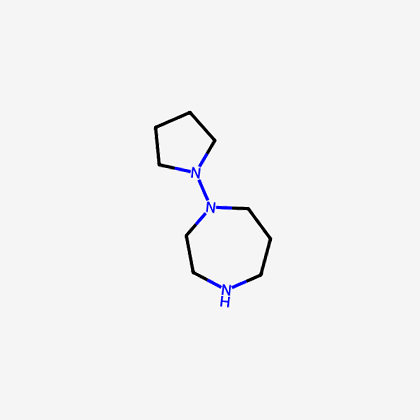 C1CCN(N2CCCNCC2)C1